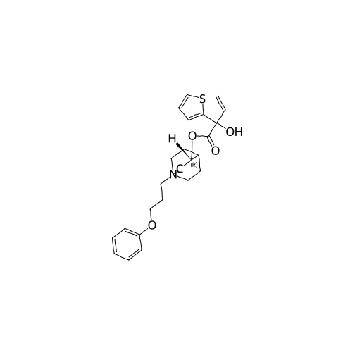 C=CC(O)(C(=O)O[C@H]1C[N+]2(CCCOc3ccccc3)CCC1CC2)c1cccs1